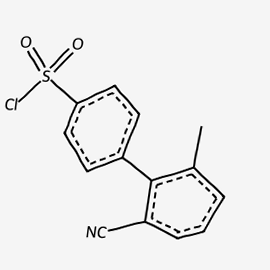 Cc1cccc(C#N)c1-c1ccc(S(=O)(=O)Cl)cc1